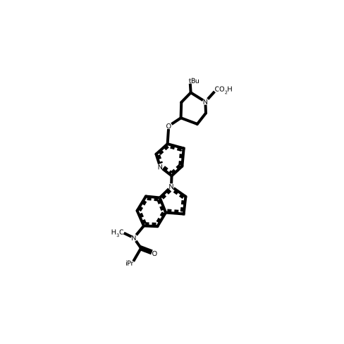 CC(C)C(=O)N(C)c1ccc2c(ccn2-c2ccc(OC3CCN(C(=O)O)C(C(C)(C)C)C3)cn2)c1